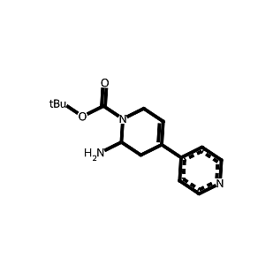 CC(C)(C)OC(=O)N1CC=C(c2ccncc2)CC1N